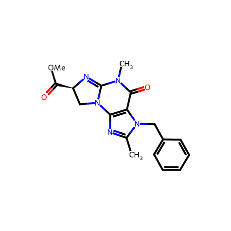 COC(=O)[C@@H]1CN2C(=N1)N(C)C(=O)c1c2nc(C)n1Cc1ccccc1